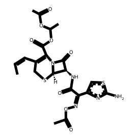 C/C=C\C1=C(C(=O)OC(C)OC(C)=O)N2C(=O)[C@@H](NC(=O)/C(=N\OC(C)=O)c3csc(N)n3)[C@H]2SC1